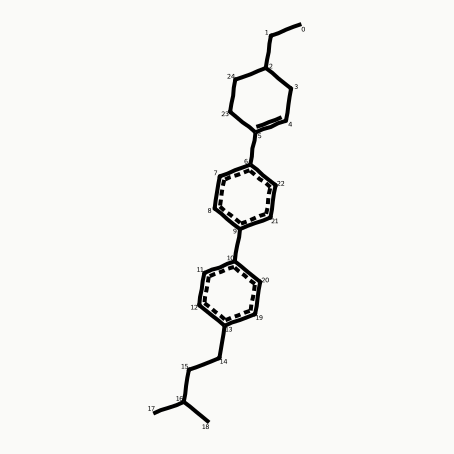 CCC1CC=C(c2ccc(-c3ccc(CCC(C)C)cc3)cc2)CC1